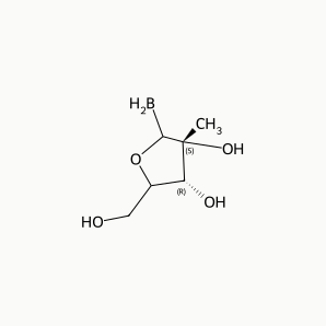 BC1OC(CO)[C@@H](O)[C@@]1(C)O